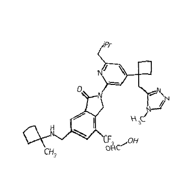 CC(C)Cc1cc(C2(Cc3nncn3C)CCC2)cc(N2Cc3c(cc(CNC4(C)CCC4)cc3C(F)(F)F)C2=O)n1.O=CO